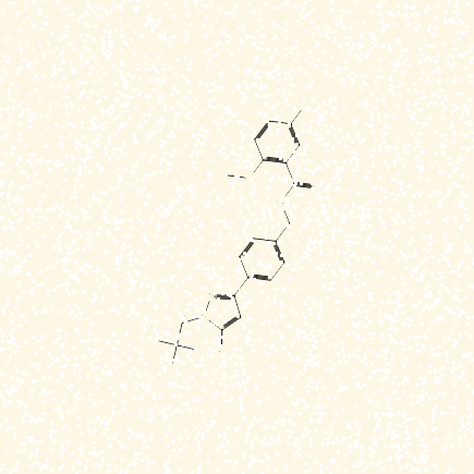 COc1ccc(F)cc1C(=O)NCc1ccc(-c2cc(N)n([C@@H](C)C(F)(F)F)n2)cc1